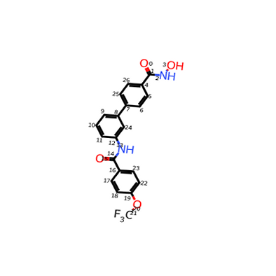 O=C(NO)c1ccc(-c2cccc(NC(=O)c3ccc(OC(F)(F)F)cc3)c2)cc1